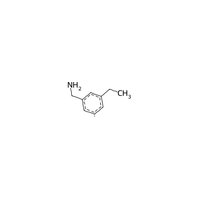 CCc1c[c]cc(CN)c1